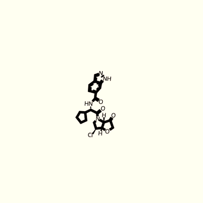 O=C(N[C@H](C(=O)N1C[C@H](Cl)[C@H]2OCC(=O)[C@H]21)C1CCCC1)c1ccc2cn[nH]c2c1